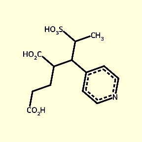 CC(C(c1ccncc1)C(CCC(=O)O)C(=O)O)S(=O)(=O)O